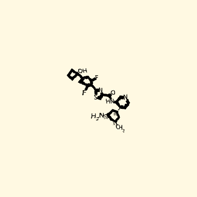 C[C@@H]1C[C@H](N)C[C@H](c2ccncc2NC(=O)c2csc(-c3c(F)cc(C4(O)CCC4)cc3F)n2)C1